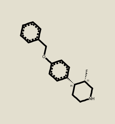 F[C@@H]1CNCC[C@@H]1c1ccc(OCc2ccccc2)cc1